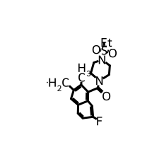 [CH2]c1cc2ccc(F)cc2c(C(=O)N2CCN(S(=O)(=O)CC)CC2)c1C